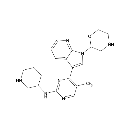 FC(F)(F)c1cnc(NC2CCCNC2)nc1-c1cn(C2CNCCO2)c2ncccc12